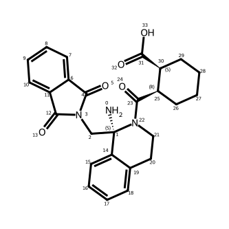 N[C@@]1(CN2C(=O)c3ccccc3C2=O)c2ccccc2CCN1C(=O)[C@@H]1CCCC[C@@H]1C(=O)O